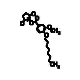 CCCCCCCCOc1ccc(C(=O)ON2C(=O)CCC2=O)cc1OC